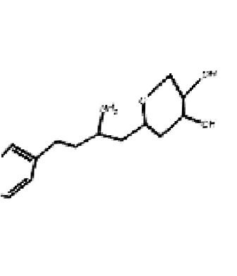 NC(CCc1ccccc1)CC1CC(O)C(O)CO1